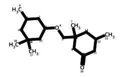 CC1CC(OCC2(C)CC(=O)CC(C)C2)CC(C)(C)C1